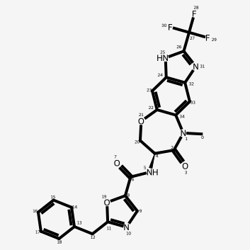 CN1C(=O)[C@@H](NC(=O)c2cnc(Cc3ccccc3)o2)COc2cc3[nH]c(C(F)(F)F)nc3cc21